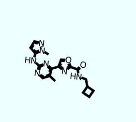 Cc1cnc(Nc2ccnn2C)nc1-c1coc(C(=O)NCC2CCC2)n1